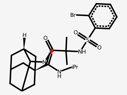 CC(C)NC(=O)[C@]12CC3CC(C1)C(NC(=O)C(C)(C)NS(=O)(=O)c1ccccc1Br)[C@H](C3)C2